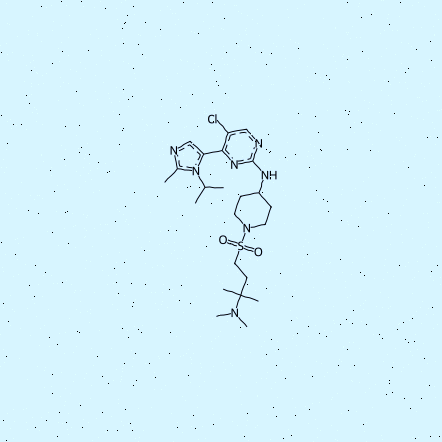 Cc1ncc(-c2nc(NC3CCN(S(=O)(=O)CCC(C)(C)N(C)C)CC3)ncc2Cl)n1C(C)C